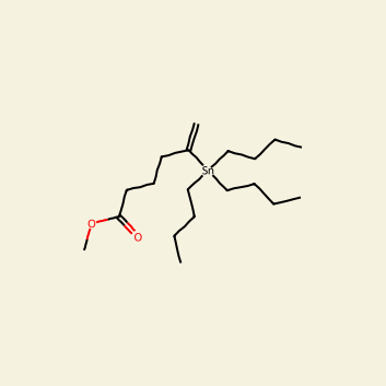 C=[C](CCCC(=O)OC)[Sn]([CH2]CCC)([CH2]CCC)[CH2]CCC